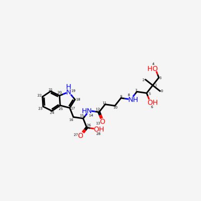 CC(C)(CO)C(O)CNCCCC(=O)NC(Cc1c[nH]c2ccccc12)C(=O)O